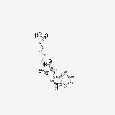 O=C(O)CCCCCN1C(=O)/C(=C/c2c[nH]c3ccccc23)OC1=S